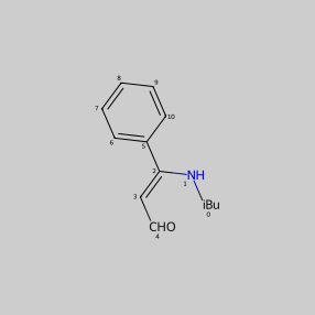 CCC(C)NC(=CC=O)c1ccccc1